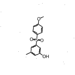 COc1ccc(S(=O)(=O)c2cc(C)cc(O)c2)cc1